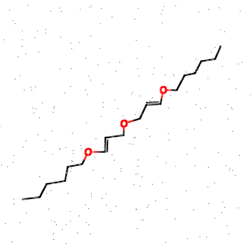 CCCCCCOC=CCOCC=COCCCCCC